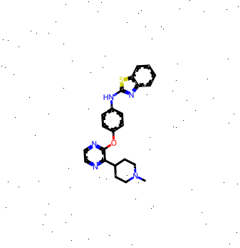 CN1CCC(c2nccnc2Oc2ccc(Nc3nc4ccccc4s3)cc2)CC1